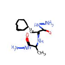 C1CCCCC1.CC(NC(C)C(=O)NN)C(=O)NN